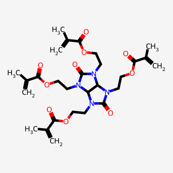 C=C(C)C(=O)OCCN1C(=O)N(CCOC(=O)C(=C)C)C2C1N(CCOC(=O)C(=C)C)C(=O)N2CCOC(=O)C(=C)C